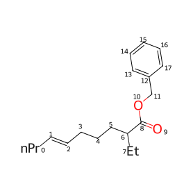 CCCC=CCCCC(CC)C(=O)OCc1ccccc1